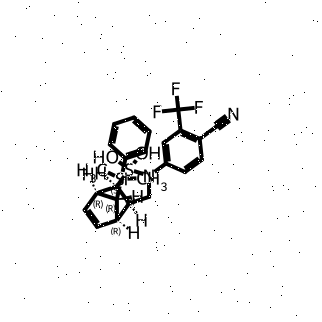 C[Si](C)(c1ccccc1)[C@@H]1[C@@H]2C=C[C@H]1[C@@H]1[C@H]2CN(c2ccc(C#N)c(C(F)(F)F)c2)S1(O)O